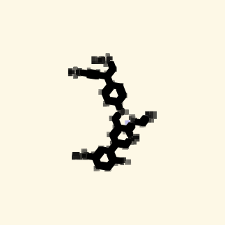 CC#CC(CC(=O)OCC)c1ccc(OCc2cc(-c3cc(OC)ccc3F)c[nH]/c2=N\C=N)cc1